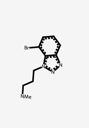 CNCCCn1nnc2cccc(Br)c21